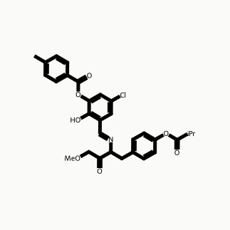 COCC(=O)C(Cc1ccc(OC(=O)C(C)C)cc1)N=Cc1cc(Cl)cc(OC(=O)c2ccc(C)cc2)c1O